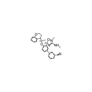 CN1O[C@@]2(C[C@H](C3CCOc4ccccc43)Oc3ccc(-c4cccc(C#N)c4)cc32)N=C1N